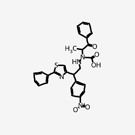 CC(C(=O)c1ccccc1)N(NCC(c1ccc([N+](=O)[O-])cc1)c1csc(-c2ccccc2)n1)C(=O)O